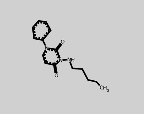 CCCCCNn1c(=O)ccn(-c2ccccc2)c1=O